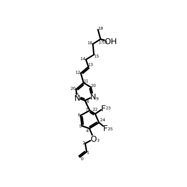 C=CCOc1ccc(-c2ncc(C=CCCCC(C)O)cn2)c(F)c1F